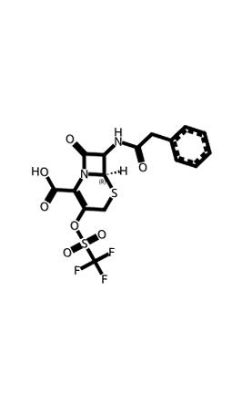 O=C(Cc1ccccc1)NC1C(=O)N2C(C(=O)O)=C(OS(=O)(=O)C(F)(F)F)CS[C@H]12